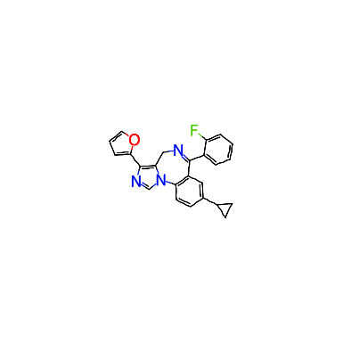 Fc1ccccc1C1=NCc2c(-c3ccco3)ncn2-c2ccc(C3CC3)cc21